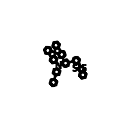 c1ccc(-c2ccc(N(c3ccc(-c4cccc5c4sc4c6ccccc6sc54)cc3)c3ccc4c(c3)C3(c5ccccc5-c5ccccc53)c3ccccc3-4)cc2)cc1